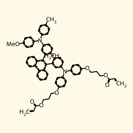 C=CC(=O)OCCCOc1ccc(N(c2ccc(OCCCOC(=O)C=C)cc2)c2ccc(C)c(-c3c(-c4cc(N(c5ccc(C)cc5)c5ccc(OC)cc5)ccc4C)c4ccccc4c4ccccc34)c2)cc1